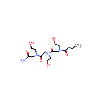 NC(=O)CN(CCO)C(=O)CN(CCO)C(=O)CN(CCO)C(=O)CCC(=O)O